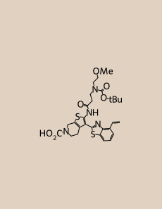 C=Cc1cccc2sc(-c3c(NC(=O)CCN(CCOC)C(=O)OC(C)(C)C)sc4c3CCN(C(=O)O)C4)nc12